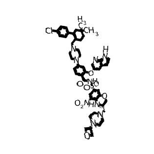 CC1(C)CCC(CN2CCN(c3ccc(C(=O)NS(=O)(=O)c4cc5c(c([N+](=O)[O-])c4)N[C@@H](CN4CCN(C6COC6)CC4)CO5)c(Oc4cnc5[nH]ccc5c4)c3)CC2)=C(c2ccc(Cl)cc2)C1